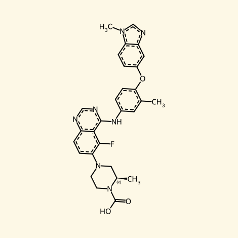 Cc1cc(Nc2ncnc3ccc(N4CCN(C(=O)O)[C@H](C)C4)c(F)c23)ccc1Oc1ccc2c(c1)ncn2C